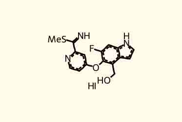 CSC(=N)c1cc(Oc2c(F)cc3[nH]ccc3c2CO)ccn1.I